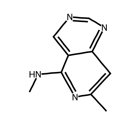 CNc1nc(C)cc2ncncc12